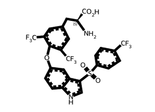 N[C@@H](Cc1cc(C(F)(F)F)c(Oc2ccc3[nH]cc(S(=O)(=O)c4ccc(C(F)(F)F)cc4)c3c2)c(C(F)(F)F)c1)C(=O)O